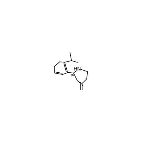 CC(C)C1=C([C@@H]2CNCCN2)C=CCC1